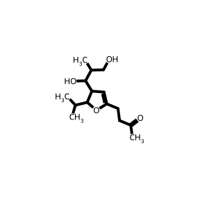 CC(=O)CCC1=CC(C(O)C(C)CO)C(C(C)C)O1